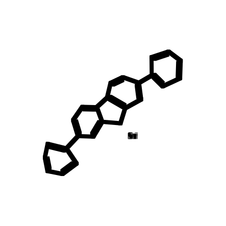 [Sn].c1ccc(-c2ccc3c(c2)Cc2cc(-c4ccccc4)ccc2-3)cc1